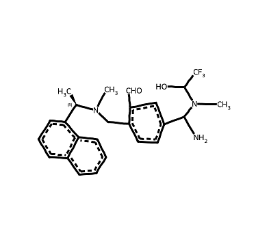 C[C@H](c1cccc2ccccc12)N(C)Cc1ccc(C(N)N(C)C(O)C(F)(F)F)cc1C=O